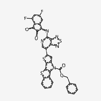 O=C(OCc1ccccc1)n1c2cc(-c3cnc(/N=c4\c(=O)c(=O)c5c(F)cc(F)cc45)c4nsnc34)sc2c2sc3ccccc3c21